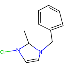 CC1N(Cl)C=CN1Cc1ccccc1